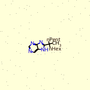 CCCCCCC(C)(CCCCC)c1nc2ncncc2[nH]1